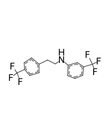 FC(F)(F)c1ccc(CCNc2cccc(C(F)(F)F)c2)cc1